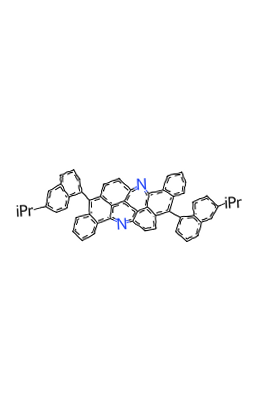 CC(C)c1ccc2c(-c3c4ccccc4c4nc5ccc6c(-c7cccc8cc(C(C)C)ccc78)c7ccccc7c7nc8ccc3c4c8c5c67)cccc2c1